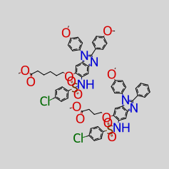 COC(=O)CCCCCOc1cc2c(cc1NS(=O)(=O)c1ccc(Cl)cc1)nc(-c1ccc(OC)cc1)n2-c1ccc(OC)cc1.COC(=O)CCCOc1cc2c(cc1NS(=O)(=O)c1ccc(Cl)cc1)nc(-c1ccccc1)n2-c1ccc(OC)cc1